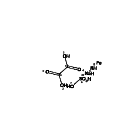 O=C(O)C(=O)O.O=S(=O)(O)O.[Fe].[KH].[NaH]